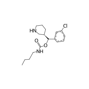 CCCCNC(=O)OC(c1cccc(Cl)c1)[C@@H]1CCCNC1